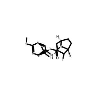 CSc1ncc(N[C@@H]2C[C@H]3CC[C@H](C2F)N3C(=O)OC(C)(C)C)nn1